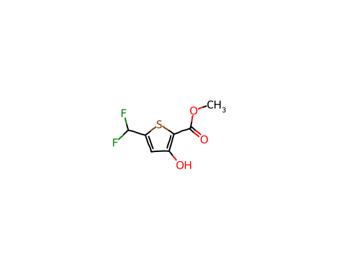 COC(=O)c1sc(C(F)F)cc1O